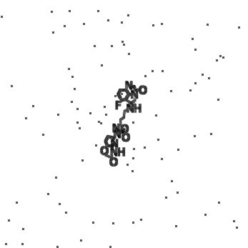 O=C1COc2ccc(-n3nc(CCCN[C@@H]4Cn5c(=O)cnc6ccc(F)c4c65)oc3=O)nc2N1